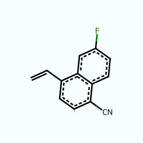 C=Cc1c[c]c(C#N)c2ccc(F)cc12